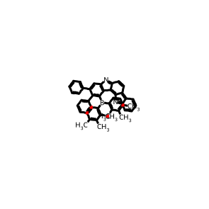 Cc1ccc(B(c2ccc(C)c(C)c2C)c2c3c(cc(-c4ccccc4)c2-c2ccccc2)N=c2ccc4c(c2-3)N=c2ccccc2=4)c(C)c1C